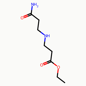 CCOC(=O)CCNCCC(N)=O